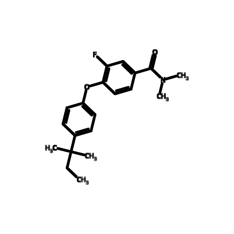 CCC(C)(C)c1ccc(Oc2ccc(C(=O)N(C)C)cc2F)cc1